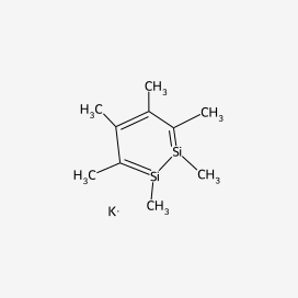 Cc1c(C)c(C)[si](C)[si](C)c1C.[K]